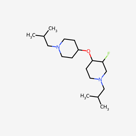 CC(C)CN1CCC(OC2CCN(CC(C)C)CC2F)CC1